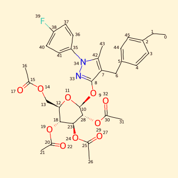 CCc1ccc(Cc2c(O[C@@H]3O[C@H](COC(C)=O)[C@@H](OC(C)=O)[C@H](OC(C)=O)[C@H]3OC(C)=O)nn(-c3ccc(F)cc3)c2C)cc1